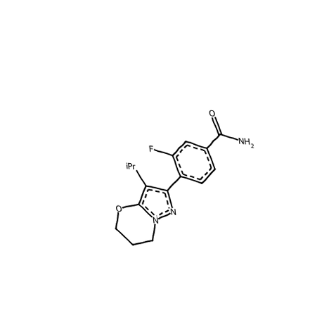 CC(C)c1c(-c2ccc(C(N)=O)cc2F)nn2c1OCCC2